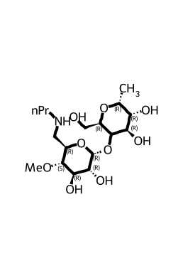 CCCNC[C@H]1O[C@H](OC2[C@@H](CO)O[C@H](C)[C@H](O)[C@H]2O)[C@H](O)[C@@H](O)[C@@H]1OC